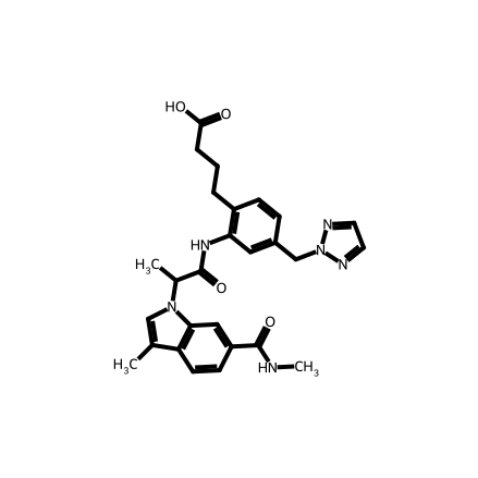 CNC(=O)c1ccc2c(C)cn(C(C)C(=O)Nc3cc(Cn4nccn4)ccc3CCCC(=O)O)c2c1